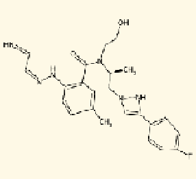 Cc1ccc(N/N=C\C=N)c(C(=O)N(CCO)[C@@H](C)Cn2cc(-c3ccc(F)cc3)[nH]2)c1